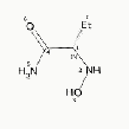 CC[C@H](NO)C(N)=O